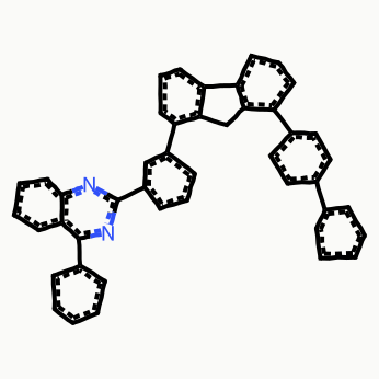 c1ccc(-c2ccc(-c3cccc4c3Cc3c(-c5cccc(-c6nc(-c7ccccc7)c7ccccc7n6)c5)cccc3-4)cc2)cc1